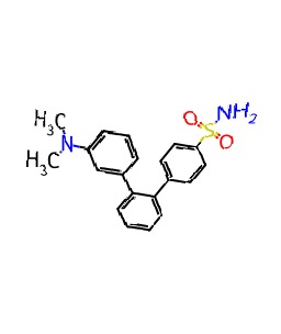 CN(C)c1cccc(-c2ccccc2-c2ccc(S(N)(=O)=O)cc2)c1